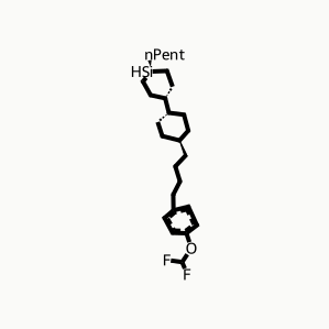 CCCCC[Si@H]1CC[C@H]([C@H]2CC[C@H](CCCCc3ccc(OC(F)F)cc3)CC2)CC1